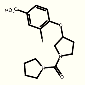 O=C(O)c1ccc(OC2CCN(C(=O)N3CCCC3)C2)c(I)c1